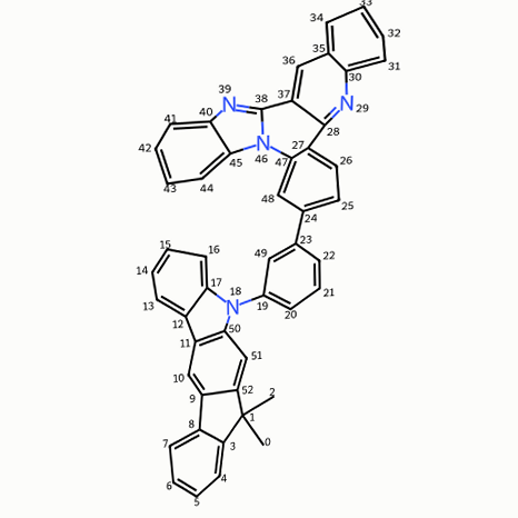 CC1(C)c2ccccc2-c2cc3c4ccccc4n(-c4cccc(-c5ccc6c7nc8ccccc8cc7c7nc8ccccc8n7c6c5)c4)c3cc21